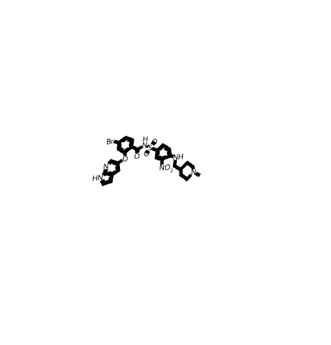 CN1CCC(CNc2ccc(S(=O)(=O)NC(=O)c3ccc(Br)cc3Oc3cnc4[nH]ccc4c3)cc2[N+](=O)[O-])CC1